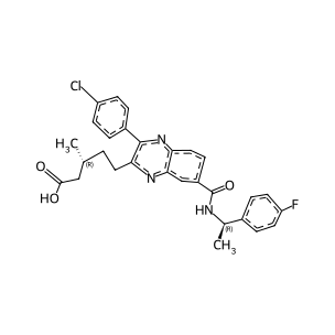 C[C@H](CCc1nc2cc(C(=O)N[C@H](C)c3ccc(F)cc3)ccc2nc1-c1ccc(Cl)cc1)CC(=O)O